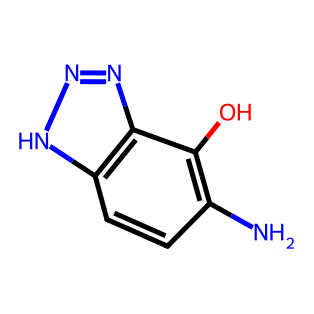 Nc1ccc2[nH]nnc2c1O